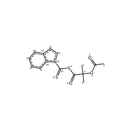 CC(=O)OC(C)(C)C(=O)SC(=S)n1ccc2ccccc21